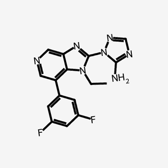 CCn1c(-n2ncnc2N)nc2cncc(-c3cc(F)cc(F)c3)c21